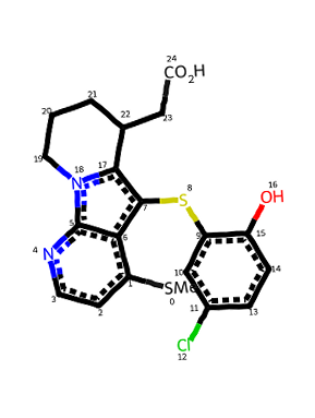 CSc1ccnc2c1c(Sc1cc(Cl)ccc1O)c1n2CCCC1CC(=O)O